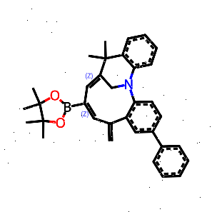 C=C1/C=C(B2OC(C)(C)C(C)(C)O2)\C=C2/CN(c3ccc(-c4ccccc4)cc31)c1ccccc1C2(C)C